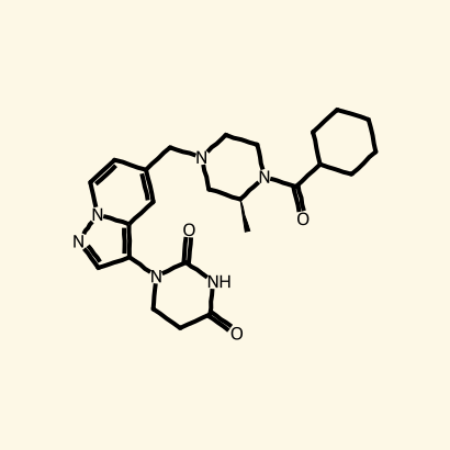 C[C@H]1CN(Cc2ccn3ncc(N4CCC(=O)NC4=O)c3c2)CCN1C(=O)C1CCCCC1